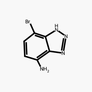 Nc1ccc(Br)c2[nH]nnc12